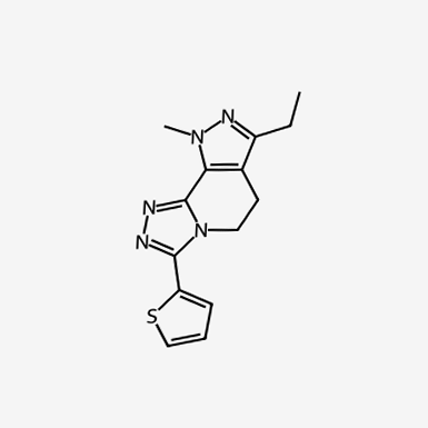 CCc1nn(C)c2c1CCn1c(-c3cccs3)nnc1-2